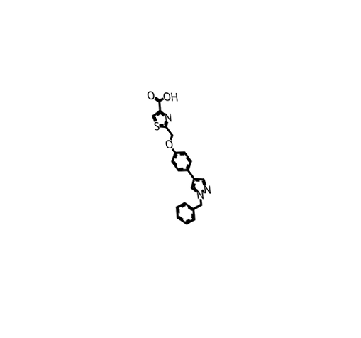 O=C(O)c1csc(COc2ccc(-c3cnn(Cc4ccccc4)c3)cc2)n1